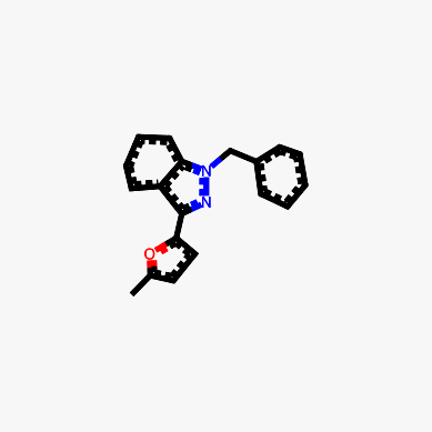 Cc1ccc(-c2nn(Cc3ccccc3)c3ccccc23)o1